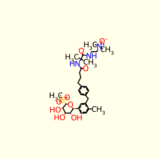 Cc1ccc([C@@H]2O[C@H](S(C)(=O)=O)[C@@H](O)[C@H](O)[C@H]2O)cc1Cc1ccc(CCCC(=O)NC(C)(C)C(=O)NCC[N+](C)(C)[O-])cc1